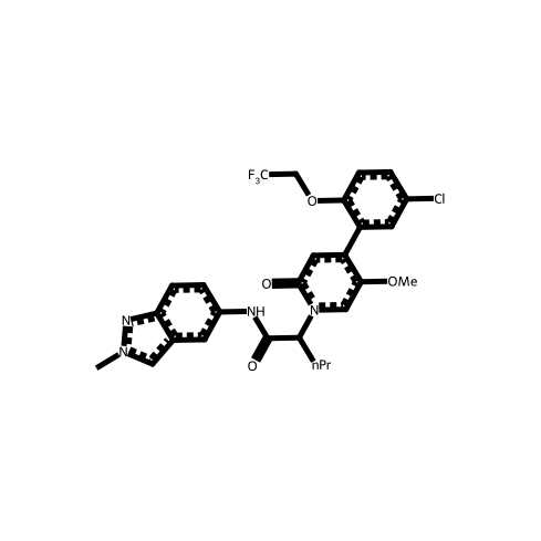 CCCC(C(=O)Nc1ccc2nn(C)cc2c1)n1cc(OC)c(-c2cc(Cl)ccc2OCC(F)(F)F)cc1=O